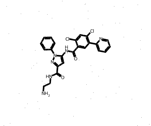 NCCNC(=O)c1cc(NC(=O)c2cc(-c3ccccn3)c(Cl)cc2Cl)n(-c2ccccc2)n1